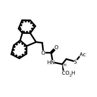 CC(=O)SC[C@H](NC(=O)OCC1c2ccccc2-c2ccccc21)C(=O)O